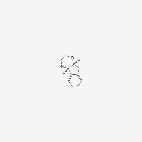 c1ccc2c(c1)C[C@H]1OCC[N][C@@H]21